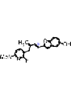 C=C(/C=C/c1cc2cc(O)ccc2o1)Cc1ccc(NC)nc1F